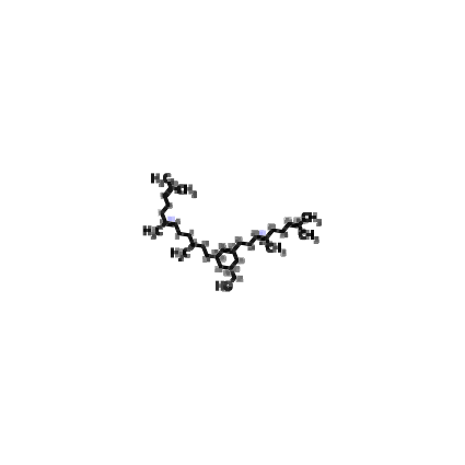 C=C(CC/C=C(\C)CCC=C(C)C)CC[C@H]1C=C(CC/C=C(\C)CCC=C(C)C)C[C@@H](CO)C1